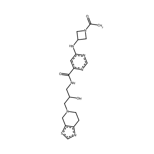 CC(=O)N1CC(Nc2cc(C(=O)NCC(O)CN3CCc4ncsc4C3)ncn2)C1